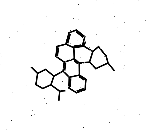 CC1CCC(C(C)C)C(c2c3ccccc3c(C3CC(C)CCC3C(C)C)c3c2ccc2ccccc23)C1